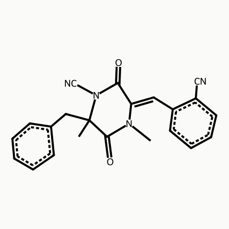 CN1C(=O)C(C)(Cc2ccccc2)N(C#N)C(=O)/C1=C/c1ccccc1C#N